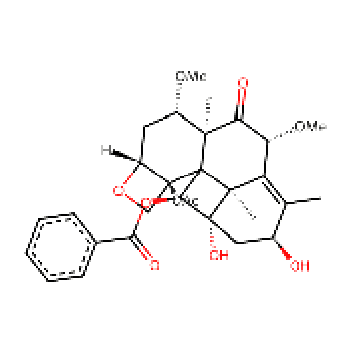 CO[C@H]1C(=O)[C@]2(C)[C@@H](OC)C[C@H]3OC[C@@]3(OC(C)=O)C23[C@H](OC(=O)c2ccccc2)[C@]2(O)C[C@H](O)C(C)=C1[C@]32C